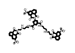 O=C(NCCCNCCN1C(=O)c2cccc3cc([N+](=O)[O-])cc(c23)C1=O)c1cc(C(=O)NCCCNCCN2C(=O)c3cccc4cc([N+](=O)[O-])cc(c34)C2=O)cc(N2C(=O)c3cccc4cc([N+](=O)[O-])cc(c34)C2=O)c1